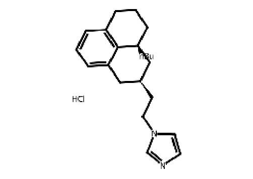 CCCC[C@]12CCCc3cccc(c31)C[C@H](CCn1ccnc1)C2.Cl